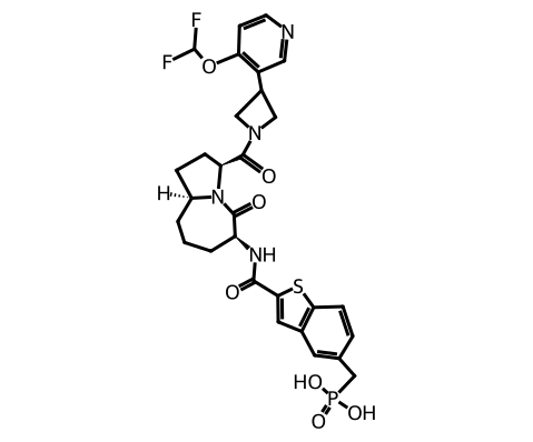 O=C(N[C@H]1CCC[C@H]2CC[C@@H](C(=O)N3CC(c4cnccc4OC(F)F)C3)N2C1=O)c1cc2cc(CP(=O)(O)O)ccc2s1